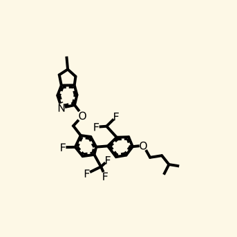 CC(C)CCOc1ccc(-c2cc(COc3cc4c(cn3)CC(C)C4)c(F)cc2C(F)(F)F)c(C(F)F)c1